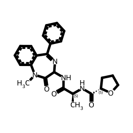 C[C@H](NC(=O)[C@@H]1CCCO1)C(=O)NC1N=C(c2ccccc2)c2ccccc2N(C)C1=O